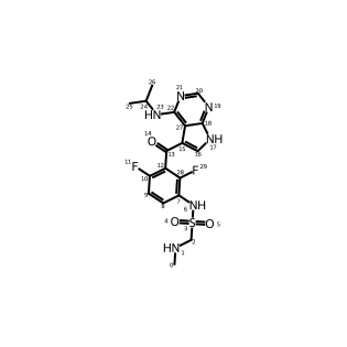 CNCS(=O)(=O)Nc1ccc(F)c(C(=O)c2c[nH]c3ncnc(NC(C)C)c23)c1F